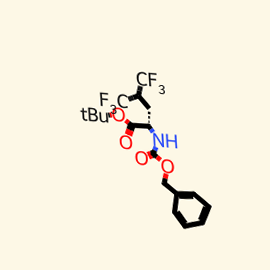 CC(C)(C)OC(=O)[C@H](CC(C(F)(F)F)C(F)(F)F)NC(=O)OCc1ccccc1